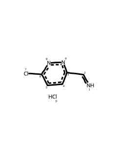 Cl.N=Cc1ccc(Cl)nn1